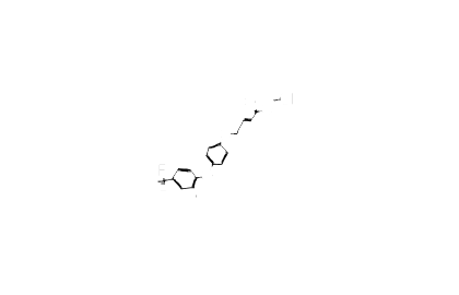 CCOC(=O)/C=C/COc1ccc(Oc2ccc(C(F)(F)F)cc2Cl)cc1